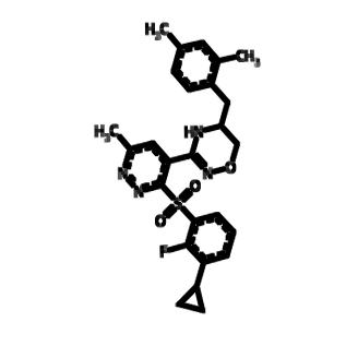 Cc1ccc(CC2CON=C(c3cc(C)nnc3S(=O)(=O)c3cccc(C4CC4)c3F)N2)c(C)c1